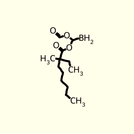 BC(OC=O)OC(=O)C(C)(CC)CCCCCC